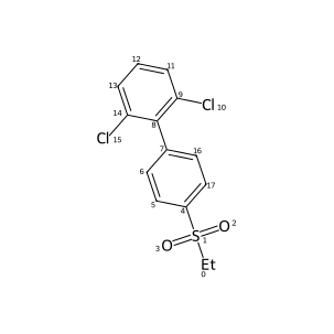 CCS(=O)(=O)c1ccc(-c2c(Cl)cccc2Cl)cc1